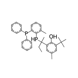 CCC(C)(Pc1c(C)cccc1P(c1ccccc1)c1ccccc1)c1cc(C)cc(C(C)(C)C)c1O